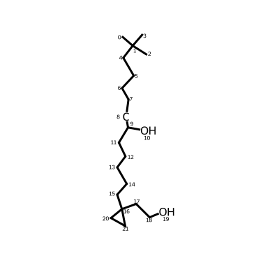 CC(C)(C)CCCCCC(O)CCCCCC1(CCO)CC1